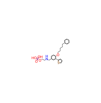 O=P(O)(O)OCCNCc1ccc(OCCCCCc2ccccc2)c(-c2cccs2)c1